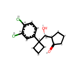 O=C1CCCC1[C@@H](O)C1(c2ccc(Cl)c(Cl)c2)CCC1